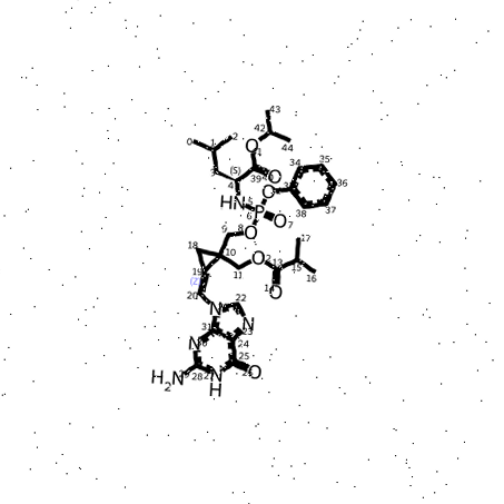 CC(C)C[C@H](NP(=O)(OCC1(COC(=O)C(C)C)C/C1=C/n1cnc2c(=O)[nH]c(N)nc21)Oc1ccccc1)C(=O)OC(C)C